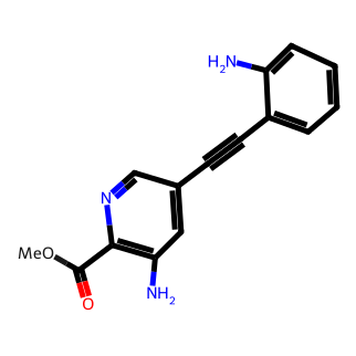 COC(=O)c1ncc(C#Cc2ccccc2N)cc1N